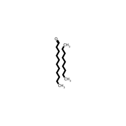 CCCCCCCCC.CCCCCCCCCCC=O